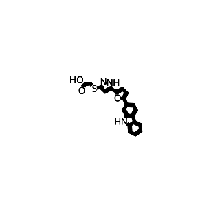 O=C(O)CSc1cc(-c2ccc(-c3ccc4c(c3)[nH]c3ccccc34)o2)[nH]n1